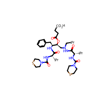 CC(C)CN(C[C@H](OC(=O)CCC(=O)O)[C@H](Cc1ccccc1)NC(=O)[C@@H](NC(=O)N1CCSCC1)C(C)C)NC(=O)[C@@H](NC(=O)N1CCSCC1)C(C)C